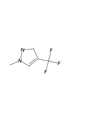 CN1C=C(C(F)(F)F)C[N]1